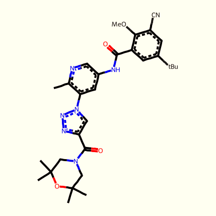 COc1c(C#N)cc(C(C)(C)C)cc1C(=O)Nc1cnc(C)c(-n2cc(C(=O)N3CC(C)(C)OC(C)(C)C3)nn2)c1